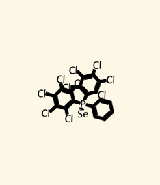 Clc1c(Cl)c(Cl)c(P(=[Se])(c2ccccc2)c2c(Cl)c(Cl)c(Cl)c(Cl)c2Cl)c(Cl)c1Cl